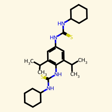 CC(C)c1cc(NC(=S)NC2CCCCC2)cc(C(C)C)c1NC(=S)NC1CCCCC1